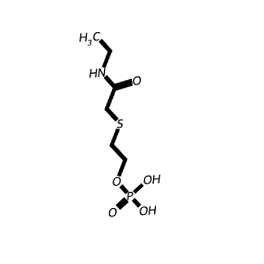 CCNC(=O)CSCCOP(=O)(O)O